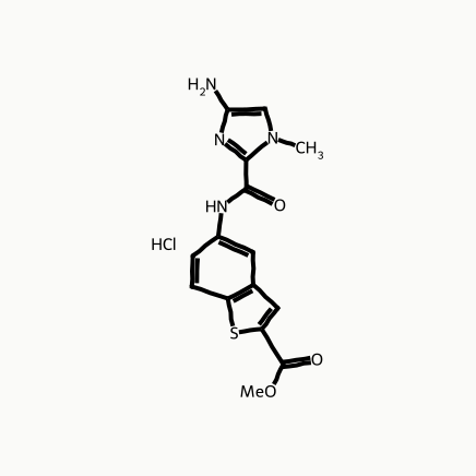 COC(=O)c1cc2cc(NC(=O)c3nc(N)cn3C)ccc2s1.Cl